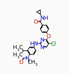 CC(C)c1cc(Nc2ncc(Cl)c(Oc3ccc(C(=O)NC4CC4)cc3)n2)ccc1N(C)C=O